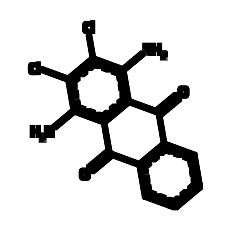 Nc1c(Cl)c(Cl)c(N)c2c1C(=O)c1ccccc1C2=O